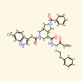 CNC(=O)[C@H](CCCc1ccccc1)NC(=O)C1CN(C(=O)Cc2c[nH]c3cc(Cl)ccc23)CC2CN(C(=O)c3ccccc3)CC21